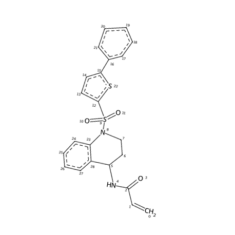 C=CC(=O)NC1CCN(S(=O)(=O)c2ccc(-c3ccccc3)s2)c2ccccc21